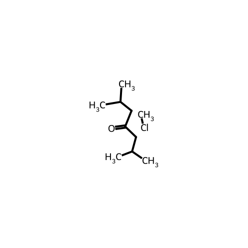 CC(C)CC(=O)CC(C)C.CCl